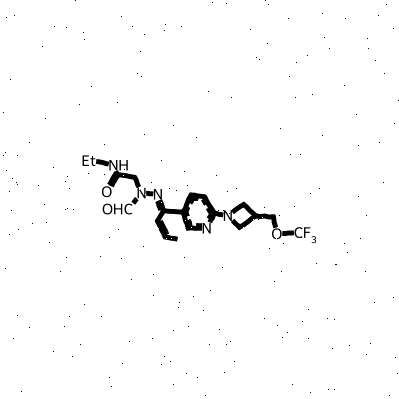 C/C=C\C(=N/N(C=O)CC(=O)NCC)c1ccc(N2CC(COC(F)(F)F)C2)nc1